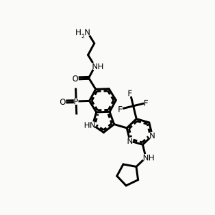 CP(C)(=O)c1c(C(=O)NCCN)ccc2c(-c3nc(NC4CCCC4)ncc3C(F)(F)F)c[nH]c12